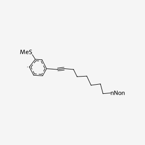 CCCCCCCCCCCCCCCC#Cc1cc[c]c(SC)c1